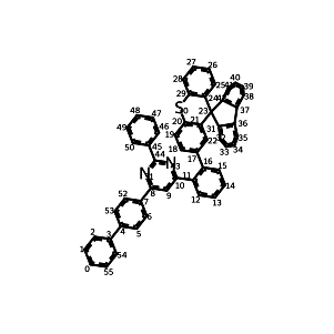 c1ccc(-c2ccc(-c3cc(-c4ccccc4-c4ccc5c(c4)C4(c6ccccc6S5)c5ccccc5-c5ccccc54)nc(-c4ccccc4)n3)cc2)cc1